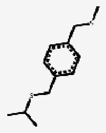 CSCc1ccc(CSC(C)C)cc1